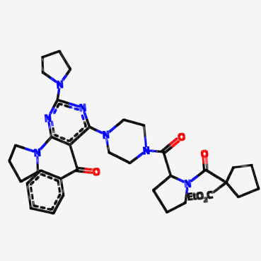 CCOC(=O)C1(C(=O)N2CCCC2C(=O)N2CCN(c3nc(N4CCCC4)nc(N4CCCC4)c3C(=O)c3ccccc3)CC2)CCCC1